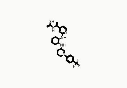 C=C(S)NC(=C)c1ccnc(N[C@@H]2CCCC[C@H]2N[C@H]2CCCN(c3ccc(C(F)(F)F)cc3)C2)c1